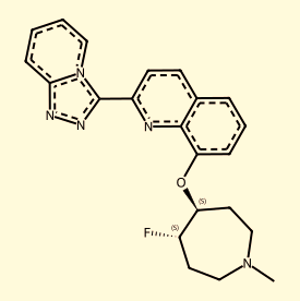 CN1CC[C@H](Oc2cccc3ccc(-c4nnc5ccccn45)nc23)[C@@H](F)CC1